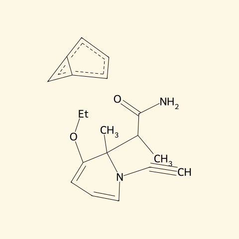 C#CN1C=CC=C(OCC)C1(C)C(C)C(N)=O.c1cc2cc-2c1